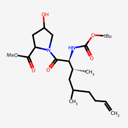 C=CCCC(C)C[C@@H](C)[C@H](NC(=O)OC(C)(C)C)C(=O)N1CC(O)CC1C(=O)OC